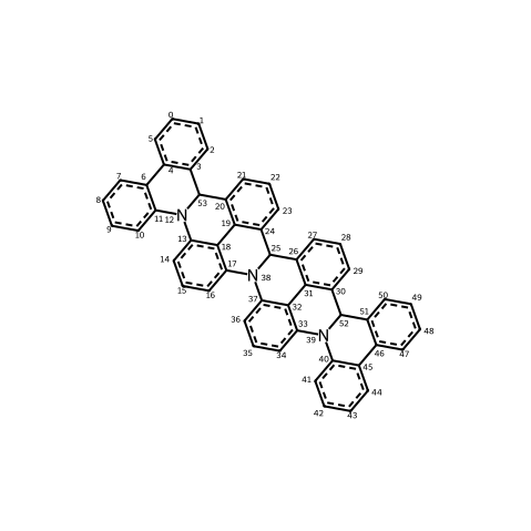 c1ccc2c(c1)-c1ccccc1N1c3cccc4c3-c3c(cccc3C3c5cccc6c5-c5c(cccc5N43)N3c4ccccc4-c4ccccc4C63)C21